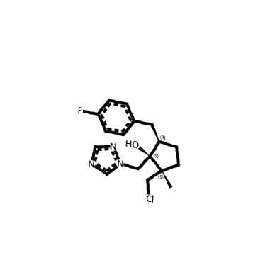 C[C@]1(CCl)CC[C@H](Cc2ccc(F)cc2)[C@@]1(O)Cn1cncn1